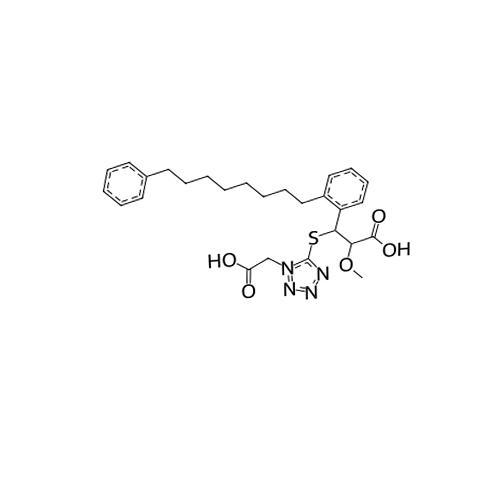 COC(C(=O)O)C(Sc1nnnn1CC(=O)O)c1ccccc1CCCCCCCCc1ccccc1